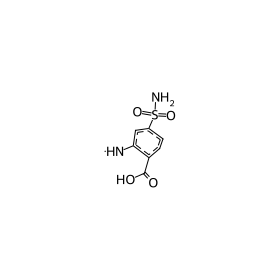 [NH]c1cc(S(N)(=O)=O)ccc1C(=O)O